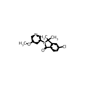 COc1cncc(N2C(=O)c3ccc(Cl)cc3C2(C)C)c1